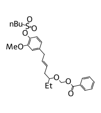 CCCCS(=O)(=O)Oc1ccc(CC=CCC(CC)OCOC(=O)c2ccccc2)cc1OC